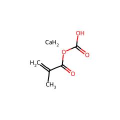 C=C(C)C(=O)OC(=O)O.[CaH2]